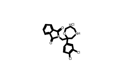 Cl.O=C1c2ccccc2C(=O)N1CC1(c2ccc(Cl)c(Cl)c2)CNCCCO1